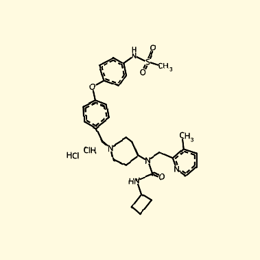 Cc1cccnc1CN(C(=O)NC1CCC1)C1CCN(Cc2ccc(Oc3ccc(NS(C)(=O)=O)cc3)cc2)CC1.Cl.Cl